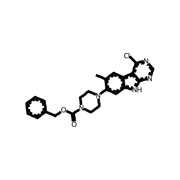 Cc1cc2c(cc1N1CCN(C(=O)OCc3ccccc3)CC1)[nH]c1ncnc(Cl)c12